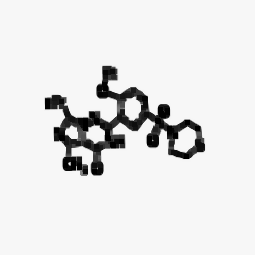 CCCc1nc(C)c2c(=O)[nH]c(-c3cc(S(=O)(=O)N4CCSCC4)ccc3OCC)nn12